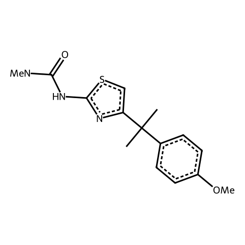 CNC(=O)Nc1nc(C(C)(C)c2ccc(OC)cc2)cs1